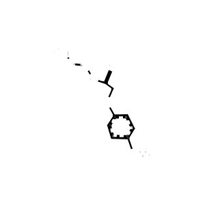 COc1ccc(OCC(=O)OOOC(C)(C)C)cc1